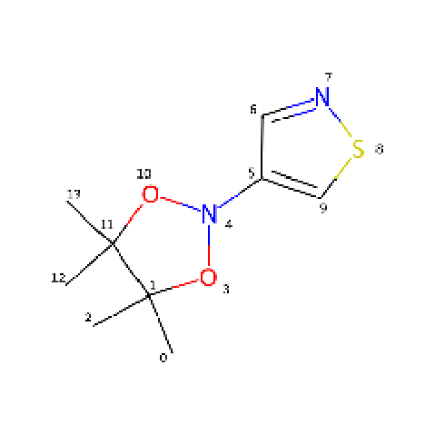 CC1(C)ON(c2cnsc2)OC1(C)C